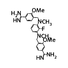 COc1cc(C(=N)N)ccc1CN(C)c1cccc(N(C)Cc2ccc(C(=N)N)cc2OC)c1F